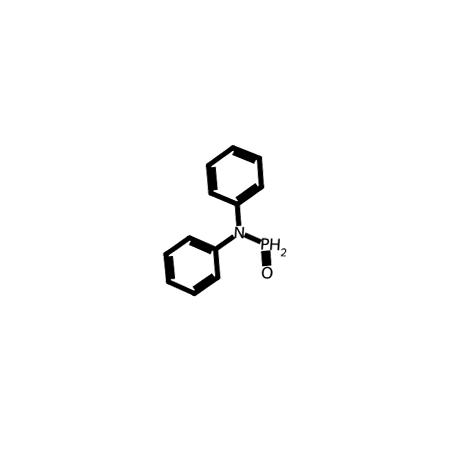 O=[PH2]N(c1ccccc1)c1ccccc1